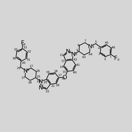 Fc1ccc(CN2CCC(n3ncc4cc(Oc5ccc6c(cnn6C6CCN(Cc7ccc(F)cc7)CC6)c5)ccc43)CC2)cc1